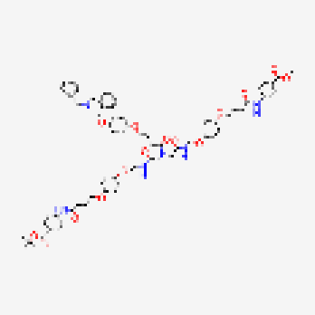 COC(=O)C1CCC(NC(=O)CCCOC2CCC(OCNC(=O)CN(CC(=O)NCCOC3CCC(OCCCC(=O)NC4CCC(C(=O)OC(C)(C)C)CC4)CC3)C(=O)CCCOC3CCC(OCCN(Cc4ccccc4)Cc4ccccc4)CC3)CC2)CC1